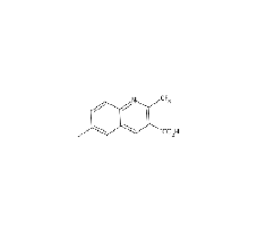 Cc1ccc2nc(C(F)(F)F)c(C(=O)O)cc2c1